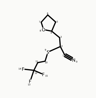 N#CC(CC1CCCO1)SCCC(F)(F)F